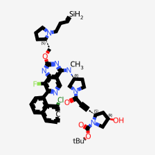 CN(c1nc(OC[C@@H]2CCCN2CCC=[SiH2])nc2c(F)c(-c3cccc4cccc(Cl)c34)ncc12)[C@@H]1CCN(C(=O)C#C[C@@H]2C[C@@H](O)CN2C(=O)OC(C)(C)C)C1